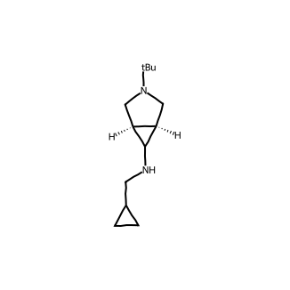 CC(C)(C)N1C[C@@H]2C(NCC3CC3)[C@@H]2C1